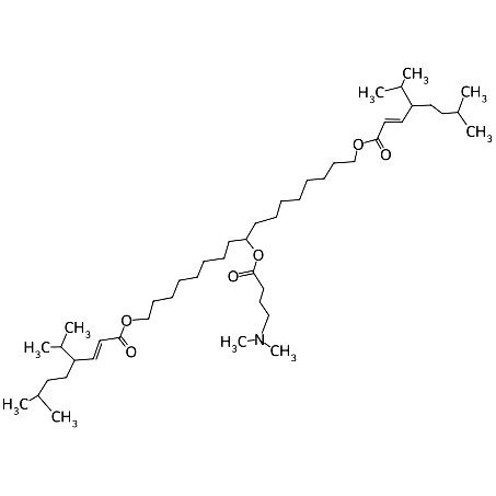 CC(C)CCC(C=CC(=O)OCCCCCCCCC(CCCCCCCCOC(=O)C=CC(CCC(C)C)C(C)C)OC(=O)CCCN(C)C)C(C)C